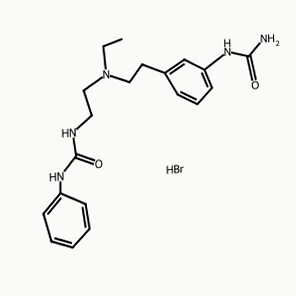 Br.CCN(CCNC(=O)Nc1ccccc1)CCc1cccc(NC(N)=O)c1